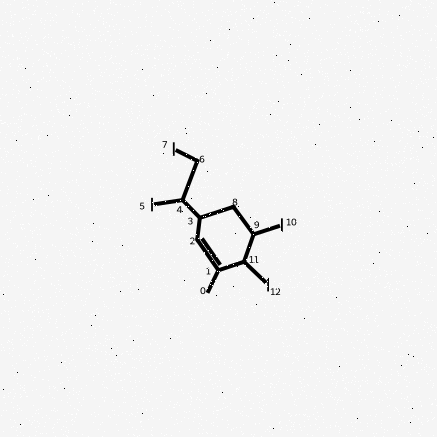 CC1=CC(C(I)CI)CC(I)C1I